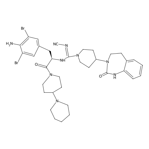 N#CN=C(N[C@H](Cc1cc(Br)c(N)c(Br)c1)C(=O)N1CCC(N2CCCCC2)CC1)N1CCC(N2CCc3ccccc3NC2=O)CC1